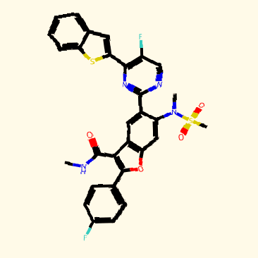 CNC(=O)c1c(-c2ccc(F)cc2)oc2cc(N(C)S(C)(=O)=O)c(-c3ncc(F)c(-c4cc5ccccc5s4)n3)cc12